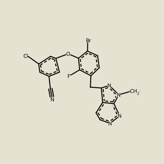 [CH2]n1nc(Cc2ccc(Br)c(Oc3cc(Cl)cc(C#N)c3)c2F)c2ccnnc21